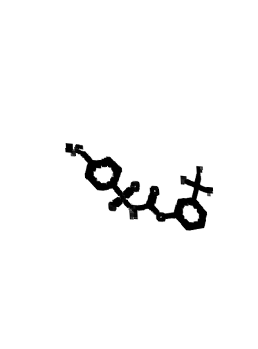 Cc1ccc(S(=O)(=O)NC(=O)Oc2cccc(C(F)(F)F)c2)cc1